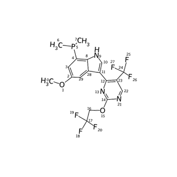 COc1cc(P(C)C)c2[nH]cc(-c3nc(OCC(F)(F)F)ncc3C(F)(F)F)c2c1